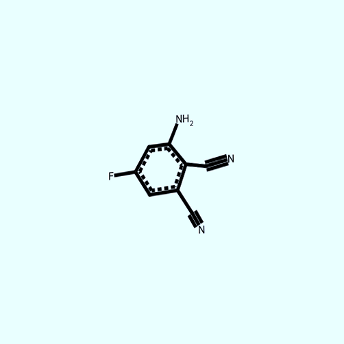 N#Cc1cc(F)cc(N)c1C#N